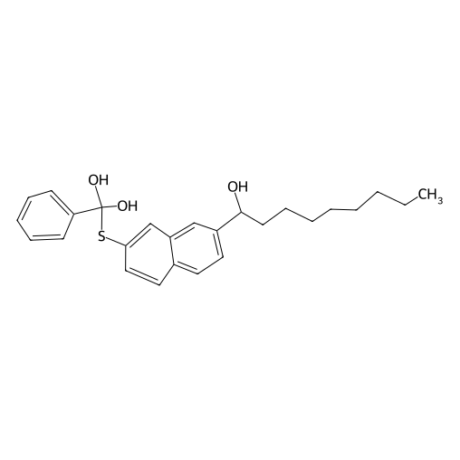 CCCCCCCCC(O)c1ccc2ccc(SC(O)(O)c3ccccc3)cc2c1